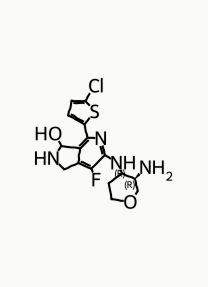 N[C@H]1COCC[C@H]1Nc1nc(-c2ccc(Cl)s2)c2c(c1F)CNC2O